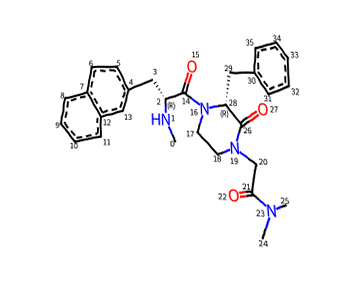 CN[C@H](Cc1ccc2ccccc2c1)C(=O)N1CCN(CC(=O)N(C)C)C(=O)[C@H]1Cc1ccccc1